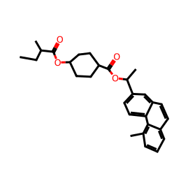 CCC(C)C(=O)OC1CCC(C(=O)OC(C)c2ccc3c(ccc4cccc(C)c43)c2)CC1